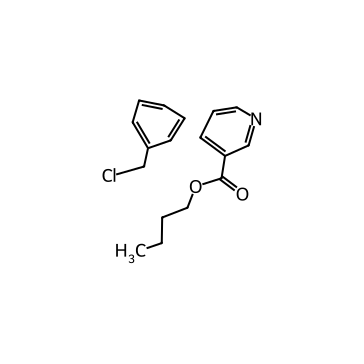 CCCCOC(=O)c1cccnc1.ClCc1ccccc1